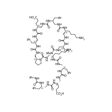 CNC(=O)NC[C@H](C)NC(=O)NC[C@H](CCCCN)NC(=O)NCC(CC(C)C)NC(=O)NC[C@H](CCC(=O)O)NC(=O)NC[C@H](CC(C)C)NC(=O)NC[C@@H]1CCCN1C(=O)NC[C@H](CCCCN)NC(=O)NC[C@H](CC(C)C)NC(=O)NC[C@H](CCC(=O)O)NC(=O)NC[C@H](CC(C)C)NC(=O)NC(C)C